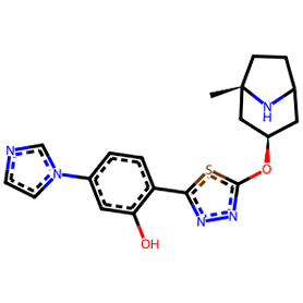 C[C@]12CCC(C[C@@H](Oc3nnc(-c4ccc(-n5ccnc5)cc4O)s3)C1)N2